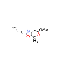 COC(=O)Cc1nc(C=CCC(C)C)oc1C